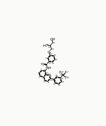 O=C(Nc1cccc2ccc(-c3cccc(C(F)(F)F)c3)nc12)c1cccc(OCC(O)CO)c1